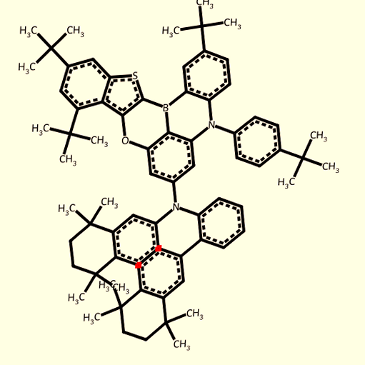 CC(C)(C)c1ccc(N2c3ccc(C(C)(C)C)cc3B3c4sc5cc(C(C)(C)C)cc(C(C)(C)C)c5c4Oc4cc(N(c5ccc6c(c5)C(C)(C)CCC6(C)C)c5ccccc5-c5ccc6c(c5)C(C)(C)CCC6(C)C)cc2c43)cc1